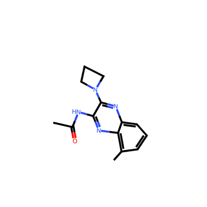 CC(=O)Nc1nc2c(C)cccc2nc1N1CCC1